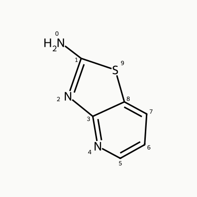 Nc1nc2ncccc2s1